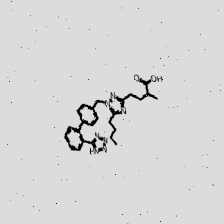 CCCCc1nc(CCC(C)C(=O)O)nn1Cc1ccc(-c2ccccc2-c2nnn[nH]2)cc1